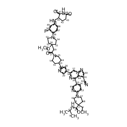 CCC1(C(=O)NC(C)C)CCN(c2ccc(-c3nc(-c4cnn(C5CCN(C(=O)CC6(OC)CCN(c7ccc(NC8CCC(=O)NC8=O)cc7F)CC6)CC5)c4)cn4ncc(C#N)c34)cn2)CC1